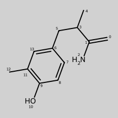 C=C(N)C(C)Cc1ccc(O)c(C)c1